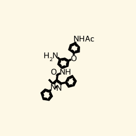 CC(=O)Nc1ccc(Oc2cc(N)cc(NC(=O)c3c(-c4ccccc4)nn(-c4ccccc4)c3C)c2)cc1